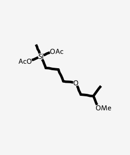 COC(C)COCCC[Si](C)(OC(C)=O)OC(C)=O